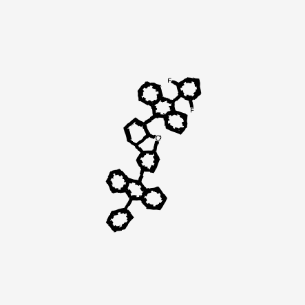 Fc1cccc(F)c1-c1c2ccccc2c(C2=CC=CC3c4cc(-c5c6ccccc6c(-c6ccccc6)c6ccccc56)ccc4OC23)c2ccccc12